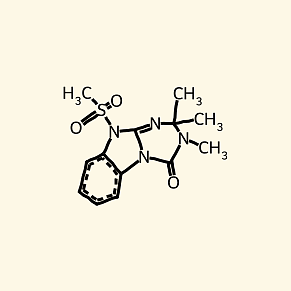 CN1C(=O)N2C(=NC1(C)C)N(S(C)(=O)=O)c1ccccc12